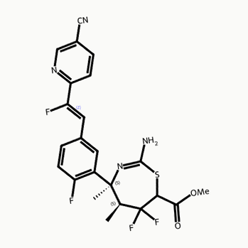 COC(=O)C1SC(N)=N[C@](C)(c2cc(/C=C(\F)c3ccc(C#N)cn3)ccc2F)[C@H](C)C1(F)F